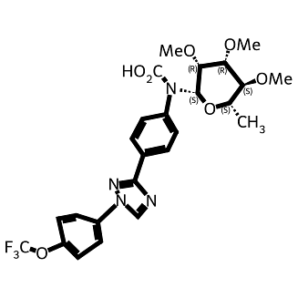 CO[C@@H]1[C@@H](OC)[C@H](C)O[C@H](N(C(=O)O)c2ccc(-c3ncn(-c4ccc(OC(F)(F)F)cc4)n3)cc2)[C@@H]1OC